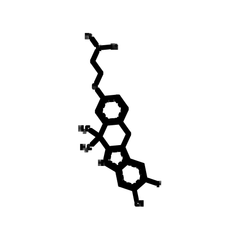 CCN(CC)CCOc1ccc2c(c1)C(C)(C)c1[nH]c3cc(C#N)c(F)cc3c1C2